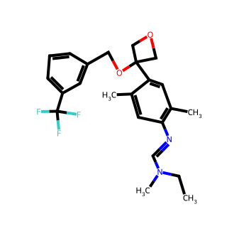 CCN(C)C=Nc1cc(C)c(C2(OCc3cccc(C(F)(F)F)c3)COC2)cc1C